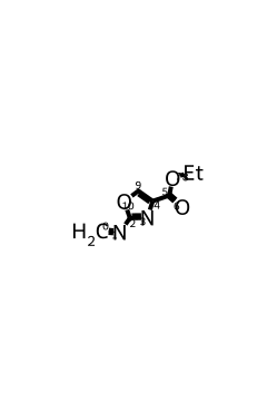 C=Nc1nc(C(=O)OCC)co1